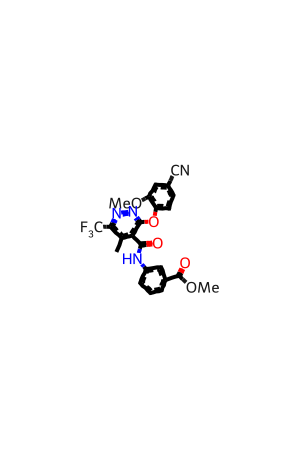 COC(=O)c1cccc(NC(=O)c2c(Oc3ccc(C#N)cc3OC)nnc(C(F)(F)F)c2C)c1